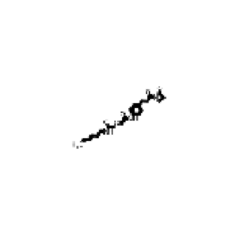 C=CCCCCNC(=O)COCC(=O)Nc1ccc(CCC(=O)N2CCC2=O)cc1